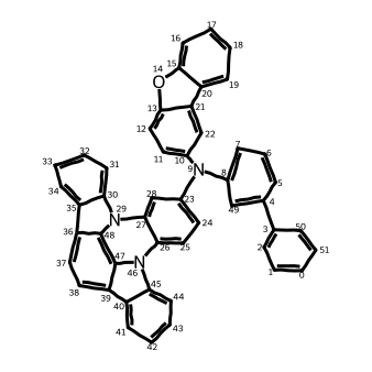 c1ccc(-c2cccc(N(c3ccc4oc5ccccc5c4c3)c3ccc4c(c3)n3c5ccccc5c5ccc6c7ccccc7n4c6c53)c2)cc1